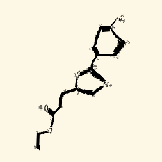 CCOC(=O)/C=C/c1cnc(-c2ccc(O)cc2)s1